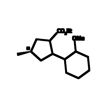 CCOC(=O)C1C[C@@H](C)CC1C1CCCCC1OC